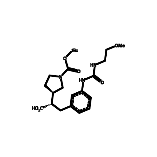 COCCNC(=O)Nc1cccc(C[C@H](C(=O)O)[C@H]2CCN(C(=O)OC(C)(C)C)C2)c1